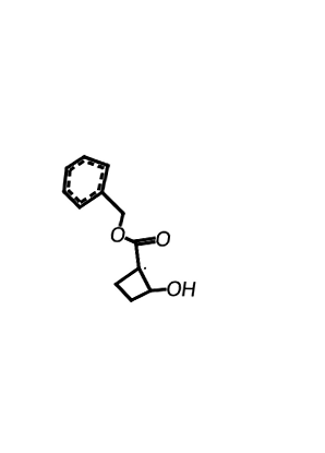 O=C(OCc1ccccc1)[C]1CCC1O